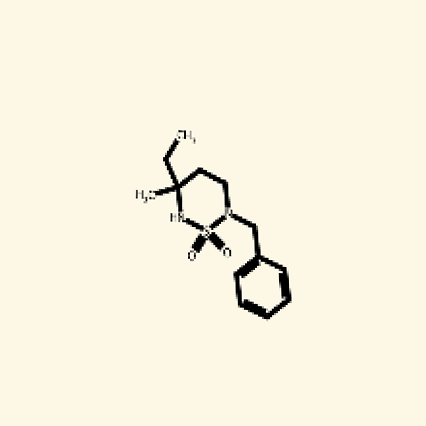 CCC1(C)CCN(Cc2ccccc2)S(=O)(=O)N1